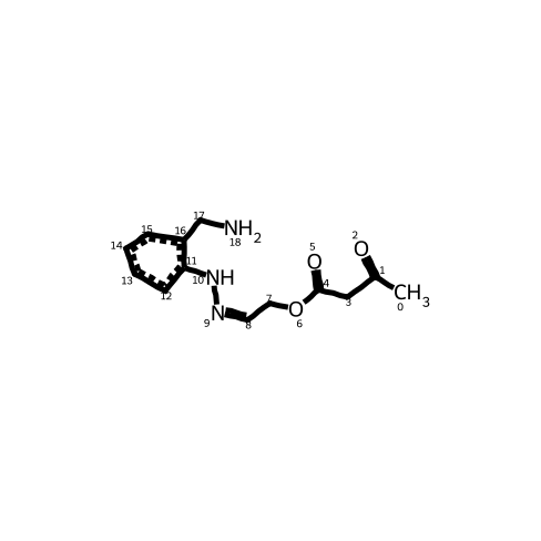 CC(=O)CC(=O)OC/C=N\Nc1ccccc1CN